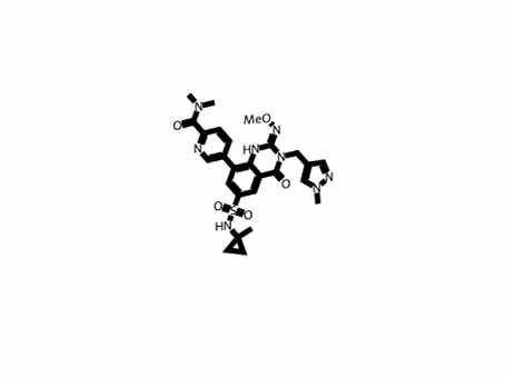 CO/N=c1\[nH]c2c(-c3ccc(C(=O)N(C)C)nc3)cc(S(=O)(=O)NC3(C)CC3)cc2c(=O)n1Cc1cnn(C)c1